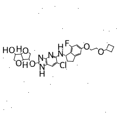 O[C@@H]1CO[C@H]2[C@@H]1OC[C@H]2Oc1nc2nc(NC3CCc4cc(OCCOC5CCC5)cc(F)c43)c(Cl)cc2[nH]1